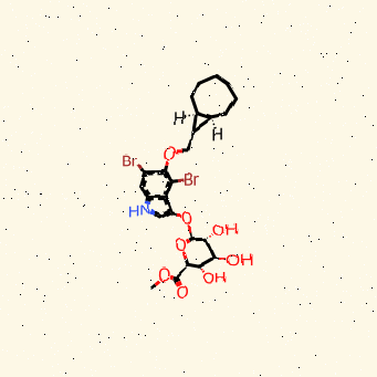 COC(=O)[C@H]1O[C@@H](Oc2c[nH]c3cc(Br)c(OC[C@@H]4[C@@H]5CCCCCC[C@@H]54)c(Br)c23)[C@H](O)[C@@H](O)[C@@H]1O